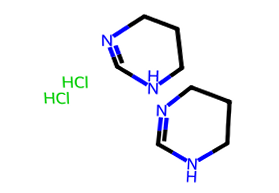 C1=NCCCN1.C1=NCCCN1.Cl.Cl